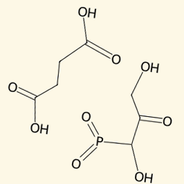 O=C(CO)C(O)P(=O)=O.O=C(O)CCC(=O)O